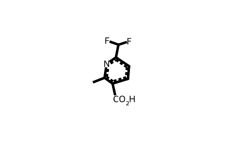 Cc1nc(C(F)F)ccc1C(=O)O